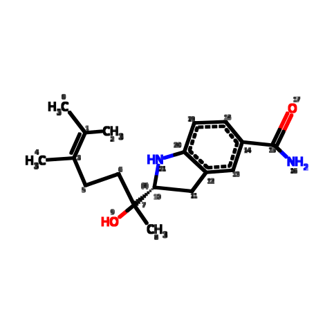 CC(C)=C(C)CCC(C)(O)[C@H]1Cc2cc(C(N)=O)ccc2N1